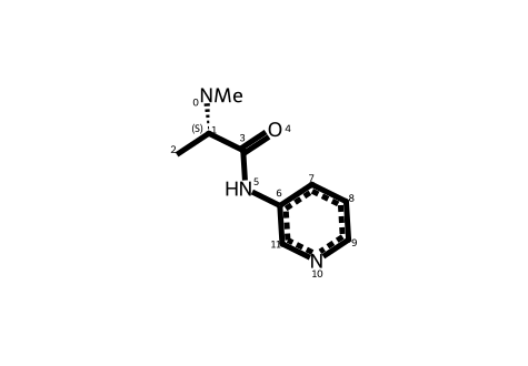 CN[C@@H](C)C(=O)Nc1cccnc1